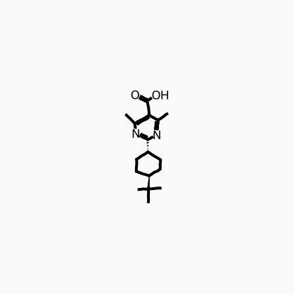 Cc1nc([C@H]2CC[C@H](C(C)(C)C)CC2)nc(C)c1C(=O)O